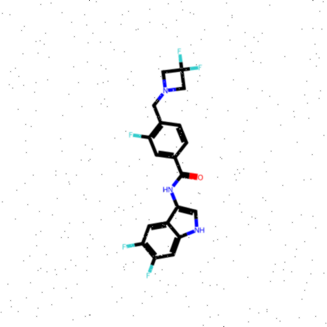 O=C(Nc1c[nH]c2cc(F)c(F)cc12)c1ccc(CN2CC(F)(F)C2)c(F)c1